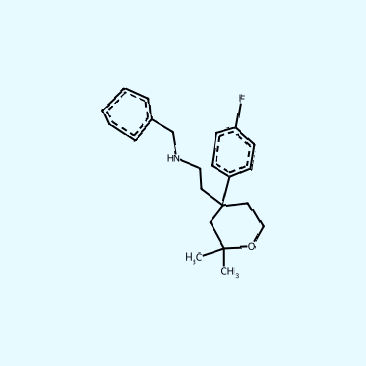 CC1(C)CC(CCNCc2ccccc2)(c2ccc(F)cc2)CCO1